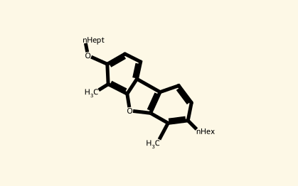 CCCCCCCOc1ccc2c(oc3c(C)c(CCCCCC)ccc32)c1C